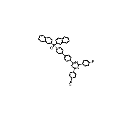 N#Cc1ccc(-c2nc(-c3ccc(F)cc3)nc(-c3ccc(-c4ccc(P(=O)(c5ccc6ccccc6c5)c5ccc6ccccc6c5)cc4)cc3)n2)cc1